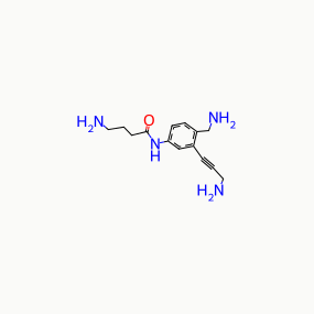 NCC#Cc1cc(NC(=O)CCCN)ccc1CN